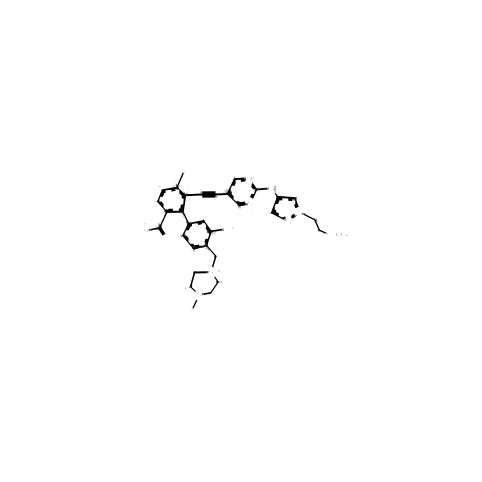 COCCn1cc(Nc2ncc(C#Cc3c(C)ccc(C(N)=O)c3-c3ccc(CN4CCN(C)CC4)c(F)c3)cn2)cn1